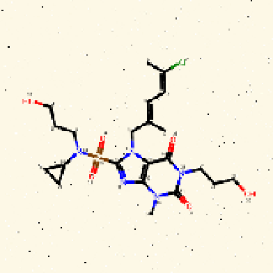 C/C(Cl)=C\C=C(/C)Cn1c(S(=O)(=O)N(CCCO)C2CC2)nc2c1c(=O)n(CCCO)c(=O)n2C